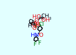 C[C@H](O)[C@@H](O)COC[C@@]1(O)C2CC[C@H]1C[C@H](S(=O)(=O)c1cc(C(=O)Nc3ccc(F)c(F)c3)ccc1Cl)C2